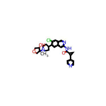 CC1(N2CCC(c3cc4cc(NC(=O)C5CC5c5ccncc5)ncc4cc3Cl)CC2)COCC1O